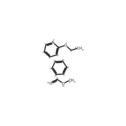 CCOc1ccccn1.COC=O.c1ccccc1